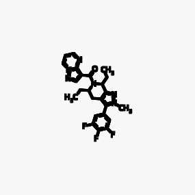 CCC1Cc2c(nn(C)c2-c2cc(F)c(F)c(F)c2)C(CC)N1C(=O)c1cnn2cccnc12